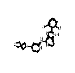 Clc1cccc(Cl)c1-c1nc2c(Nc3cc(N4CC5(COC5)C4)ncn3)ncnc2[nH]1